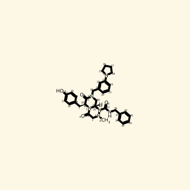 CN1CC(=O)N2[C@@H](Cc3ccc(O)cc3)C(=O)N(Cc3cccc(N4CCCC4)c3)C[C@@H]2N1C(=O)NCc1ccccc1